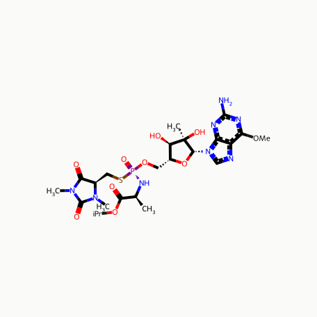 COc1nc(N)nc2c1ncn2[C@@H]1O[C@H](CO[P@@](=O)(N[C@@H](C)C(=O)OC(C)C)SC[C@@H]2C(=O)N(C)C(=O)N2C)[C@@H](O)[C@@]1(C)O